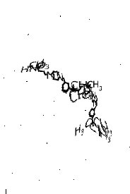 CNC(=O)CCCN1CCN(Cc2cccc(C(C)(C)CCN(C)C(=O)CN3CCN(Cc4cccc(C(C)(C)C)c4)CC3)c2)CC1